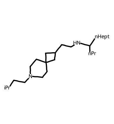 CCCCCCCC(CCC)NCCC1CC2(CCN(CCC(C)C)CC2)C1